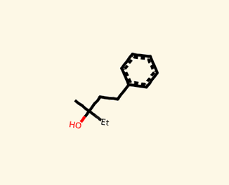 [CH2]CC(C)(O)CCc1ccccc1